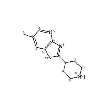 Cc1cnc2nc(C3CCNCC3)sc2c1